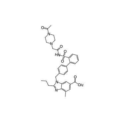 CCCc1nc2c(C)cc(C(=O)O)cc2n1Cc1ccc(-c2ccccc2S(=O)(=O)NC(=O)CN2CCN(C(C)=O)CC2)cc1